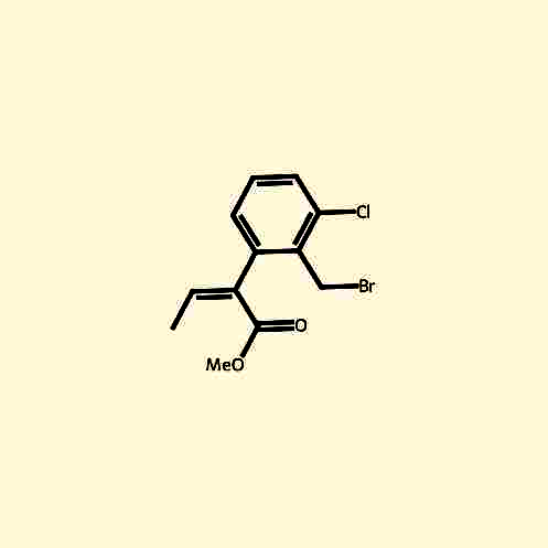 CC=C(C(=O)OC)c1cccc(Cl)c1CBr